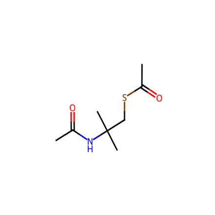 CC(=O)NC(C)(C)CSC(C)=O